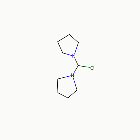 ClC(N1CCCC1)N1CCCC1